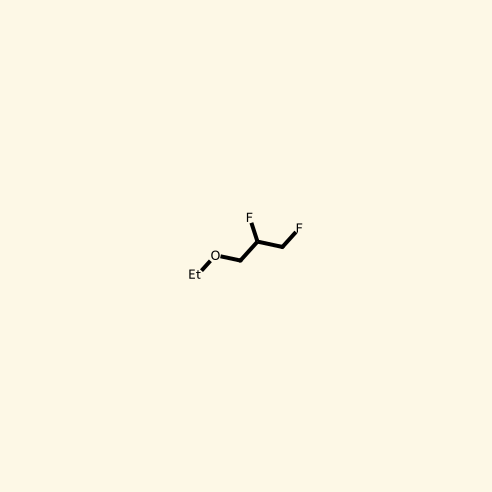 CCOCC(F)CF